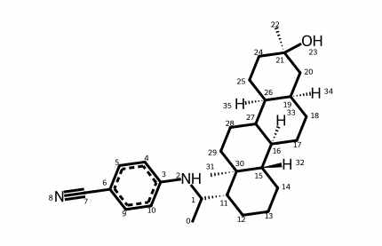 CC(Nc1ccc(C#N)cc1)[C@H]1CCC[C@H]2[C@@H]3CC[C@@H]4C[C@](C)(O)CC[C@@H]4C3CC[C@]12C